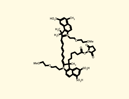 COCCOCCCN1/C(=C/C=C/C=C/C=C/C2=[N+](CCOCCOC)c3ccc4c(C)cc(S(=O)(=O)O)cc4c3C2(C)C)C(C)(CCCCCC(=O)ON2C(=O)CCC2=O)c2c1ccc1c(S(=O)(=O)O)cc(S(=O)(=O)O)cc21